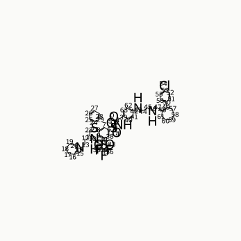 O=C(NS(=O)(=O)c1ccc(N[C@H](CCN2CC3CCCC2C3)CSc2ccccc2)c(S(=O)(=O)C(F)(F)F)c1)c1ccc(NCCNCC2=C(c3ccc(Cl)cc3)CCCCC2)cc1